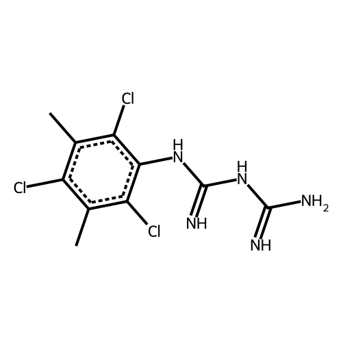 Cc1c(Cl)c(C)c(Cl)c(NC(=N)NC(=N)N)c1Cl